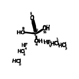 Cl.Cl.Cl.Cl.F.F.O=P(O)(O)O